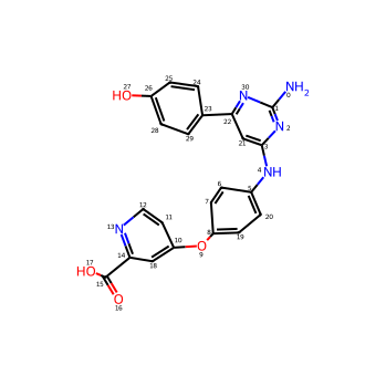 Nc1nc(Nc2ccc(Oc3ccnc(C(=O)O)c3)cc2)cc(-c2ccc(O)cc2)n1